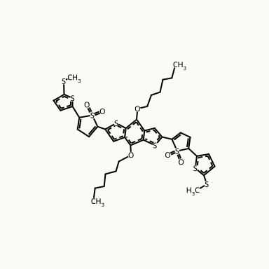 CCCCCCOc1c2cc(C3=CC=C(c4ccc(SC)s4)S3(=O)=O)sc2c(OCCCCCC)c2cc(C3=CC=C(c4ccc(SC)s4)S3(=O)=O)sc12